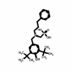 CC(C)(C)c1cc(CN(CCCc2ccccc2)CP(=O)(O)O)cc(C(C)(C)C)c1O